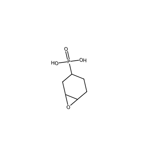 O=P(O)(O)C1CCC2OC2C1